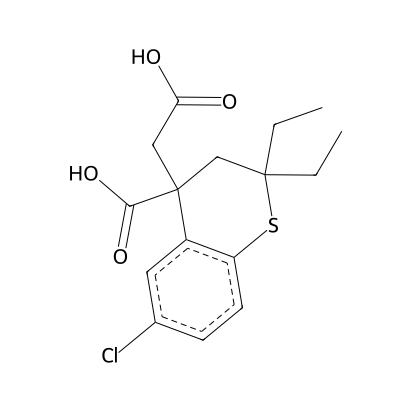 CCC1(CC)CC(CC(=O)O)(C(=O)O)c2cc(Cl)ccc2S1